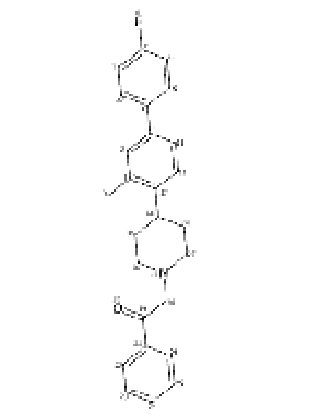 Cc1cc(-c2ccc(F)cc2)ccc1C1CCN(CC(=O)c2ccccc2)CC1